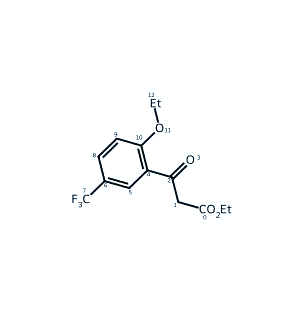 CCOC(=O)CC(=O)c1cc(C(F)(F)F)ccc1OCC